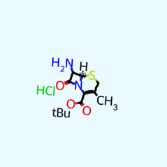 CC1=C(C(=O)OC(C)(C)C)N2C(=O)C(N)[C@H]2SC1.Cl